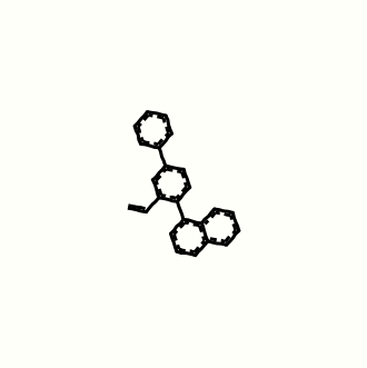 C=Cc1cc(-c2ccccc2)ccc1-c1cccc2ccccc12